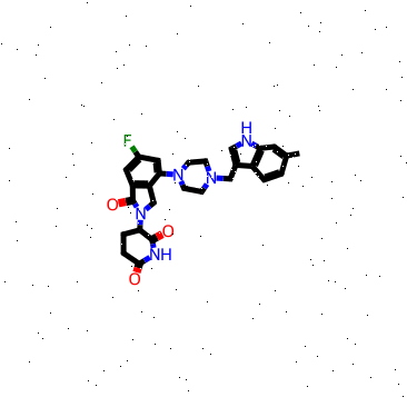 Cc1ccc2c(CN3CCN(c4cc(F)cc5c4CN(C4CCC(=O)NC4=O)C5=O)CC3)c[nH]c2c1